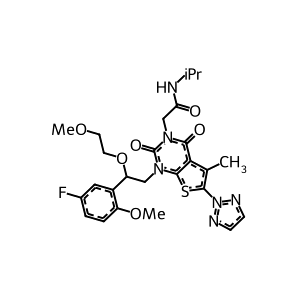 COCCOC(Cn1c(=O)n(CC(=O)NC(C)C)c(=O)c2c(C)c(-n3nccn3)sc21)c1cc(F)ccc1OC